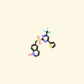 O=S(=O)(Cc1ccc2c(ccc[n+]2[O-])c1)c1nc(-c2cccs2)cc(C(F)(F)F)n1